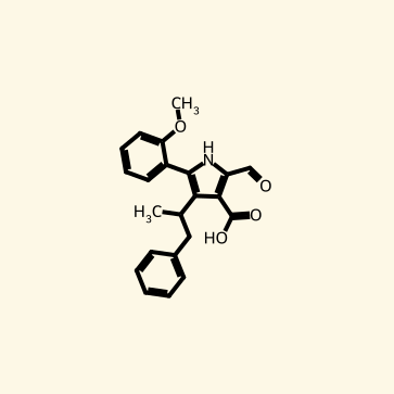 COc1ccccc1-c1[nH]c(C=O)c(C(=O)O)c1C(C)Cc1ccccc1